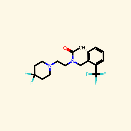 CC(=O)N(CCN1CCC(F)(F)CC1)Cc1ccccc1C(F)(F)F